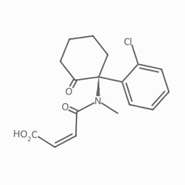 CN(C(=O)/C=C\C(=O)O)[C@]1(c2ccccc2Cl)CCCCC1=O